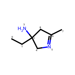 CCC1(N)CN=C(C)C1